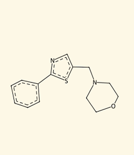 c1ccc(-c2ncc(CN3CCOCC3)s2)cc1